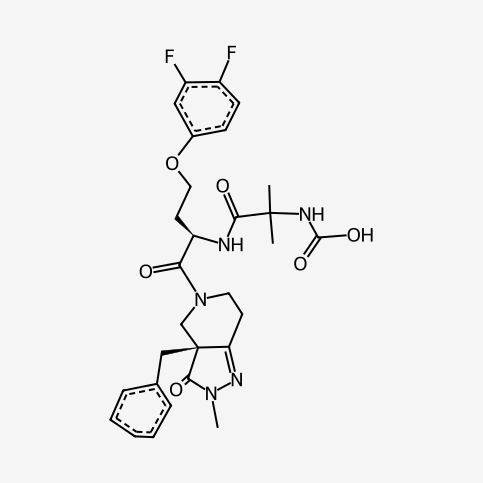 CN1N=C2CCN(C(=O)[C@@H](CCOc3ccc(F)c(F)c3)NC(=O)C(C)(C)NC(=O)O)C[C@@]2(Cc2ccccc2)C1=O